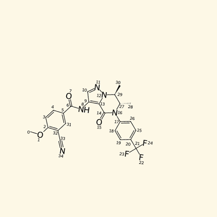 COc1ccc(C(=O)Nc2cnn3c2C(=O)N(c2ccc(C(F)(F)F)cc2)[C@@H](C)[C@@H]3C)cc1C#N